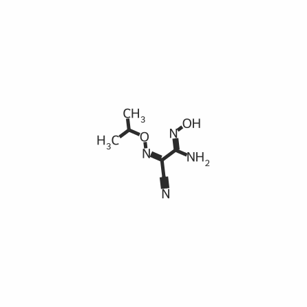 CC(C)ON=C(C#N)C(N)=NO